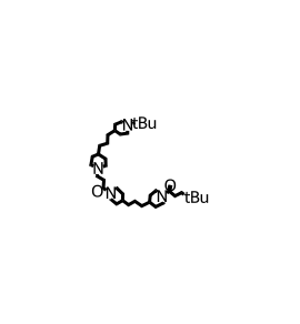 CC(C)(C)CCC(=O)N1CCC(CCCC2CCN(C(=O)CCN3CCC(CCCC4CCN(C(C)(C)C)CC4)CC3)CC2)CC1